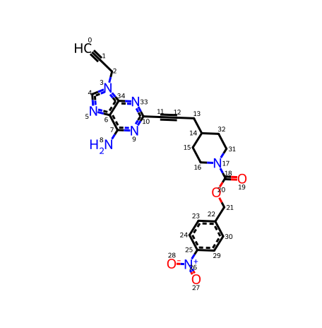 C#CCn1cnc2c(N)nc(C#CCC3CCN(C(=O)OCc4ccc([N+](=O)[O-])cc4)CC3)nc21